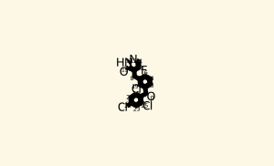 O=C(c1ccc(F)c(Cc2ccn[nH]c2=O)c1)c1c(Cl)cc(Cl)cc1Cl